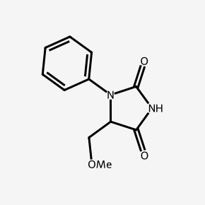 COCC1C(=O)NC(=O)N1c1ccccc1